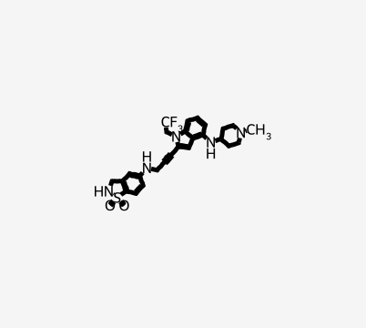 CN1CCC(Nc2cccc3c2cc(C#CCNc2ccc4c(c2)CNS4(=O)=O)n3CC(F)(F)F)CC1